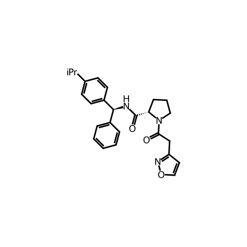 CC(C)c1ccc([C@@H](NC(=O)[C@@H]2CCCN2C(=O)Cc2ccon2)c2ccccc2)cc1